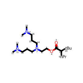 CCCC(C(=O)OCCN(CCCN(C)C)CCCN(C)C)C(C)(C)C